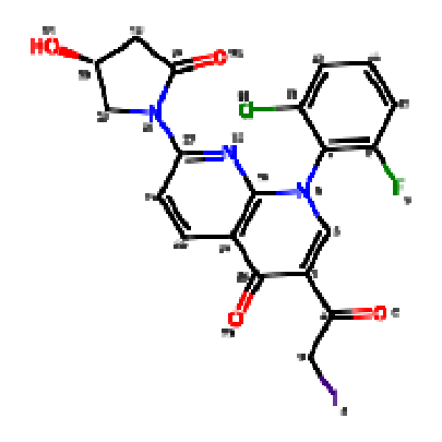 O=C(CI)c1cn(-c2c(F)cccc2Cl)c2nc(N3C[C@@H](O)CC3=O)ccc2c1=O